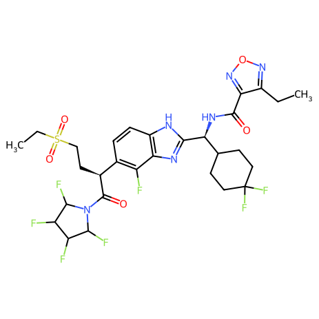 CCc1nonc1C(=O)N[C@H](c1nc2c(F)c([C@H](CCS(=O)(=O)CC)C(=O)N3C(F)C(F)C(F)C3F)ccc2[nH]1)C1CCC(F)(F)CC1